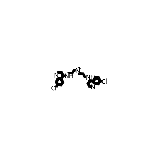 CN(CCCNc1ccnc2cc(Cl)ccc12)CCCNc1ccnc2cc(Cl)ccc12